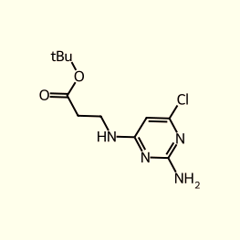 CC(C)(C)OC(=O)CCNc1cc(Cl)nc(N)n1